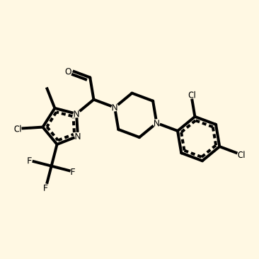 Cc1c(Cl)c(C(F)(F)F)nn1C(C=O)N1CCN(c2ccc(Cl)cc2Cl)CC1